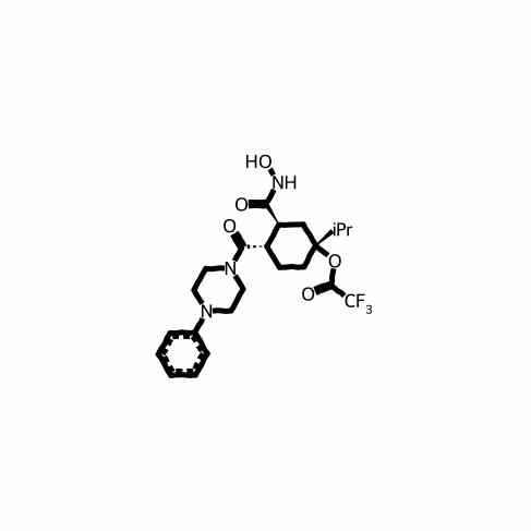 CC(C)[C@@]1(OC(=O)C(F)(F)F)CC[C@H](C(=O)N2CCN(c3ccccc3)CC2)[C@@H](C(=O)NO)C1